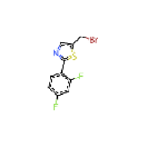 Fc1ccc(-c2ncc(CBr)s2)c(F)c1